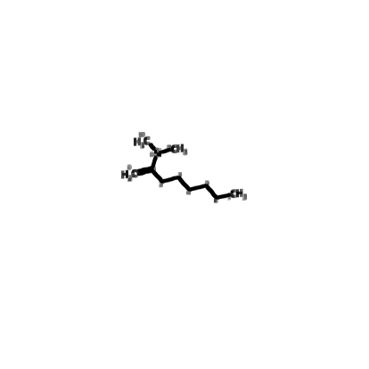 C=C(CCCCCC)[Si](C)C